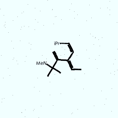 C=C(C(/C=C\C(C)C)=C/C)C(C)(C)NC